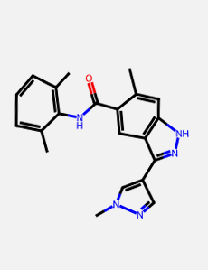 Cc1cc2[nH]nc(-c3cnn(C)c3)c2cc1C(=O)Nc1c(C)cccc1C